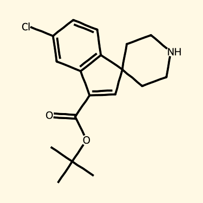 CC(C)(C)OC(=O)C1=CC2(CCNCC2)c2ccc(Cl)cc21